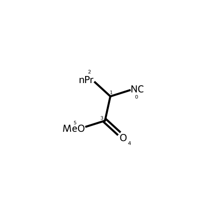 [C-]#[N+]C(CCC)C(=O)OC